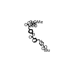 COC(=O)C(=O)N[C@H](Cc1ccc(OC(=O)c2cccc(CN3CCN(C(=O)OC(C)(C)C)CC3)c2)cc1)C(=O)OC